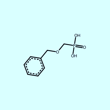 O=P(O)(O)COCc1ccccc1